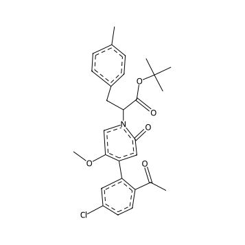 COc1cn(C(Cc2ccc(C)cc2)C(=O)OC(C)(C)C)c(=O)cc1-c1cc(Cl)ccc1C(C)=O